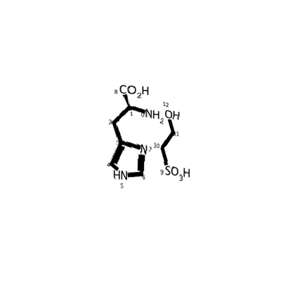 N[C@@H](Cc1c[nH]cn1)C(=O)O.O=S(=O)(O)CCO